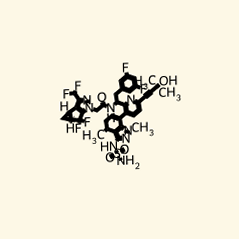 CC1CC=C(c2ccc(C#CC(C)(C)O)nc2C(Cc2cc(F)cc(F)c2)NC(=O)Cn2nc(C(F)F)c3c2C(F)(F)[C@@H]2C[C@H]32)c2c1c(NS(N)(=O)=O)nn2C